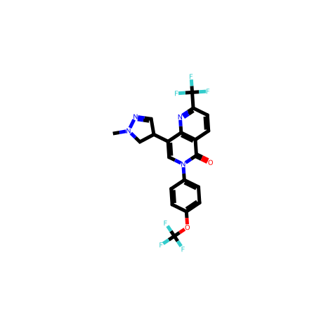 CN1CC(c2cn(-c3ccc(OC(F)(F)F)cc3)c(=O)c3ccc(C(F)(F)F)nc23)C=N1